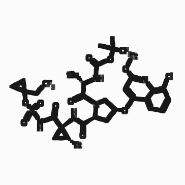 CCOc1cc(O[C@@H]2C[C@@H](C(=O)N[C@]3(C(=O)NS(=O)(=O)OC4(CC(F)(F)F)CC4)C[C@H]3CC)N(C(=O)[C@@H](NC(=O)OC(C)(C)C(F)(F)F)C(C)(C)C)C2)c2cccc(Cl)c2n1